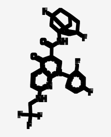 O=C(NC12CC3CC(F)(CC(F)(C3)C1)C2)c1cn(-c2ccc(F)cc2F)c2nc(NCC(F)(F)F)ccc2c1=O